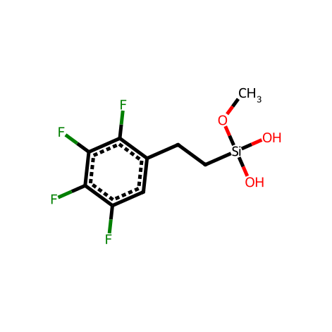 CO[Si](O)(O)CCc1cc(F)c(F)c(F)c1F